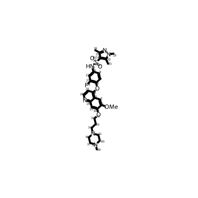 COc1cc2c(Oc3ccc(NS(=O)(=O)c4c(C)nn(C)c4C)cc3F)ccnc2cc1OCCCN1CCN(C)CC1